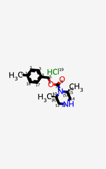 Cc1ccc(COC(=O)N2[C@H](C)CNC[C@@H]2C)cc1.Cl